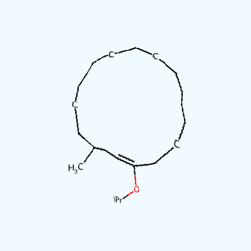 CC1C=C(OC(C)C)CCCCCCCCCCCC1